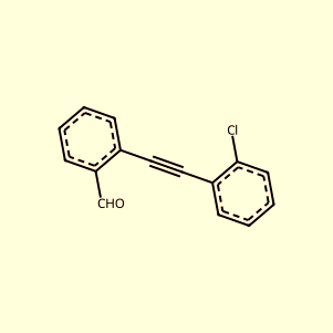 O=Cc1ccccc1C#Cc1ccccc1Cl